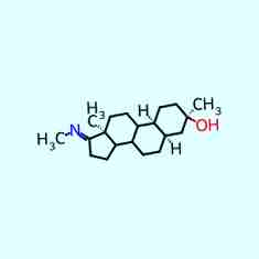 C/N=C1\CCC2C3CC[C@@H]4C[C@](C)(O)CC[C@@H]4C3CC[C@]12C